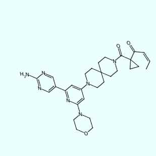 C/C=C\C(=O)C1(C(=O)N2CCC3(CC2)CCN(c2cc(-c4cnc(N)nc4)nc(N4CCOCC4)c2)CC3)CC1